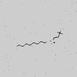 CCCCCCCCCCCCCCCCCCOS(=O)(=O)CCC(C)(C)N